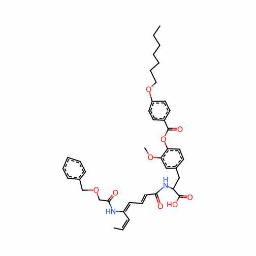 C\C=C/C(=C\C=C\C(=O)NC(Cc1ccc(OC(=O)c2ccc(OCCCCCCC)cc2)c(OC)c1)C(=O)O)NC(=O)COCc1ccccc1